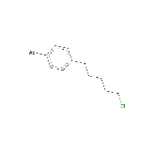 CC(=O)c1ccc(CCCCCCl)cc1